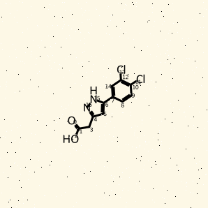 O=C(O)Cc1cc(-c2ccc(Cl)c(Cl)c2)[nH]n1